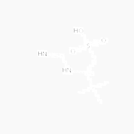 CC(C)(C)[C@@H](CS(=O)(=O)O)NC=N